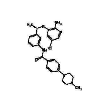 C[C@@H](Oc1cc(Cl)cnc1N)c1cccc(NC(=O)c2ccc(N3CCN(C)CC3)cc2)c1